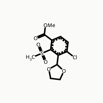 COC(=O)c1ccc(Cl)c(C2OCCO2)c1S(C)(=O)=O